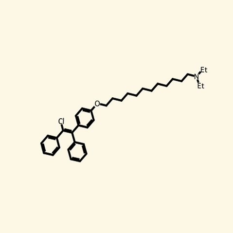 CCN(CC)CCCCCCCCCCCCOc1ccc(/C(=C(\Cl)c2ccccc2)c2ccccc2)cc1